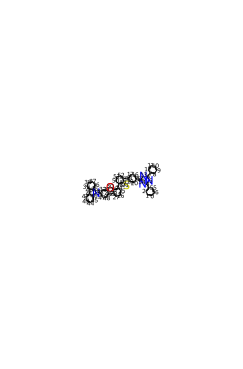 c1ccc(-c2nc(-c3ccccc3)nc(-c3ccc4c(c3)sc3c(-c5cccc6c5oc5cc(-n7c8ccccc8c8ccccc87)ccc56)cccc34)n2)cc1